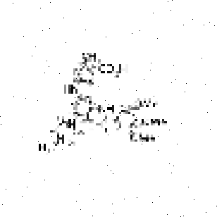 COc1cc(CNc2nc(Nc3nc(C)c(C(=O)O)s3)nc(N3CCN(C)CC3)c2C)cc(OC)c1OC